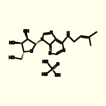 CC(C)=CCNc1ncnc2c1ncn2[C@@H]1O[C@H](CO)[C@@H](O)[C@H]1O.O=P(O)(O)O